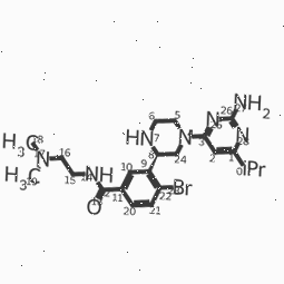 CC(C)c1cc(N2CCN[C@H](c3cc(C(=O)NCCN(C)C)ccc3Br)C2)nc(N)n1